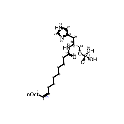 CCCCCCCC/C=C\CCCCCCCC(=O)N[C@@H](COP(=O)(O)O)Cc1c[nH]cn1